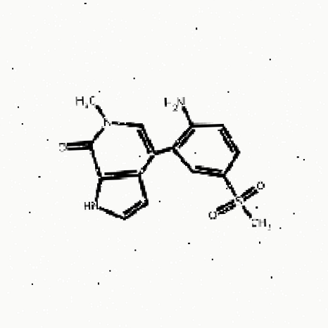 Cn1cc(-c2cc(S(C)(=O)=O)ccc2N)c2cc[nH]c2c1=O